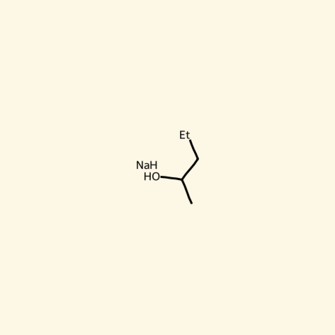 CCCC(C)O.[NaH]